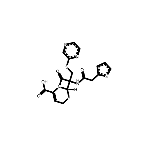 O=C(Cc1cccs1)NC1(CSc2cnccn2)C(=O)N2C(C(=O)O)=CCS[C@H]21